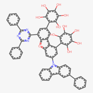 Oc1c(O)c(O)c(-c2cc(-c3nc(-c4ccccc4)nc(-c4ccccc4)n3)c3oc4cc(-n5c6ccccc6c6cc(-c7ccccc7)ccc65)cc(-c5c(O)c(O)c(O)c(O)c5O)c4c3c2)c(O)c1O